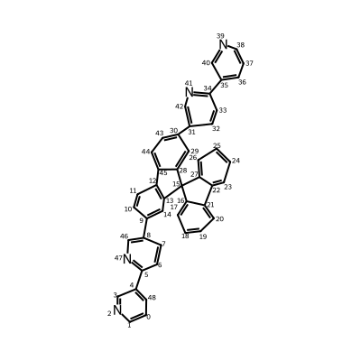 c1cncc(-c2ccc(-c3ccc4c(c3)C3(c5ccccc5-c5ccccc53)c3cc(-c5ccc(-c6cccnc6)nc5)ccc3-4)cn2)c1